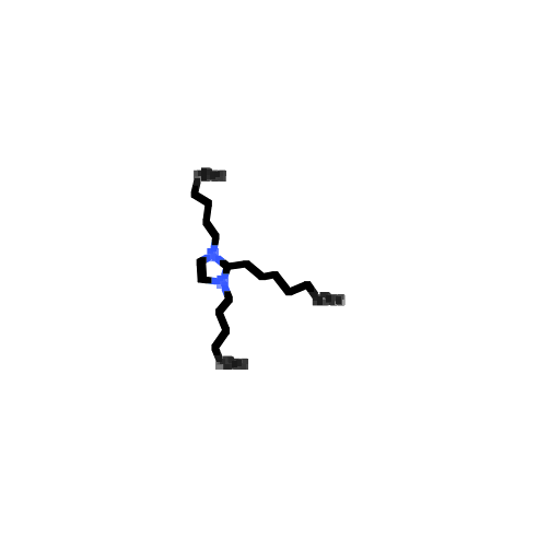 CCCCCCCCCCCCCCCC1N(CCCCCCCCCCCCCC)C=CN1CCCCCCCCCCCCCC